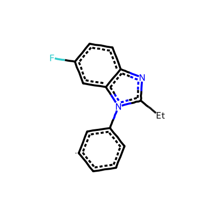 CCc1nc2ccc(F)cc2n1-c1c[c]ccc1